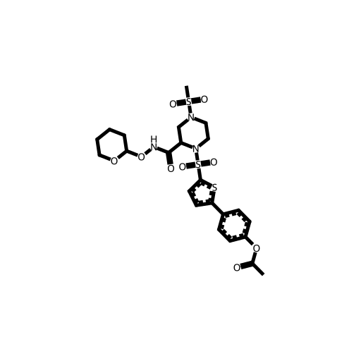 CC(=O)Oc1ccc(-c2ccc(S(=O)(=O)N3CCN(S(C)(=O)=O)CC3C(=O)NOC3CCCCO3)s2)cc1